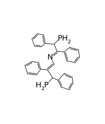 PC(/C(=C/N=C(\c1ccccc1)C(P)c1ccccc1)c1ccccc1)c1ccccc1